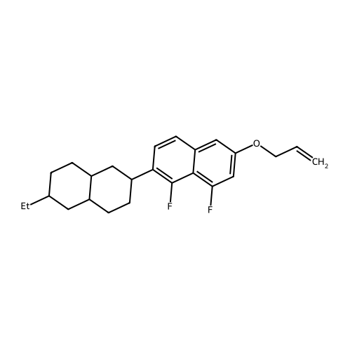 C=CCOc1cc(F)c2c(F)c(C3CCC4CC(CC)CCC4C3)ccc2c1